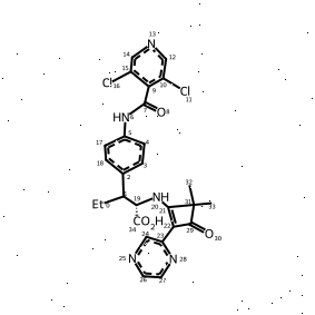 CCC(c1ccc(NC(=O)c2c(Cl)cncc2Cl)cc1)[C@H](NC1=C(c2cnccn2)C(=O)C1(C)C)C(=O)O